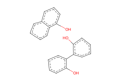 Oc1cccc2ccccc12.Oc1ccccc1-c1ccccc1O